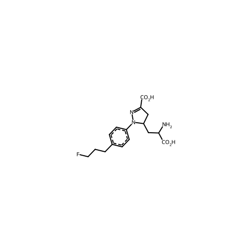 NC(CC1CC(C(=O)O)=NN1c1ccc(CCCF)cc1)C(=O)O